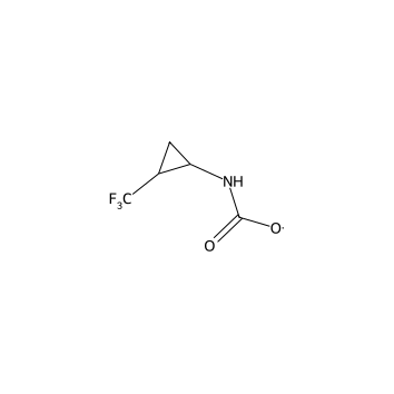 [O]C(=O)NC1CC1C(F)(F)F